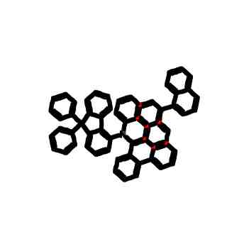 c1ccc(-c2ccccc2N(c2cccc3c2-c2ccccc2C3(c2ccccc2)c2ccccc2)c2c(-c3cccc(-c4cccc5ccccc45)c3)c3ccccc3c3ccccc23)cc1